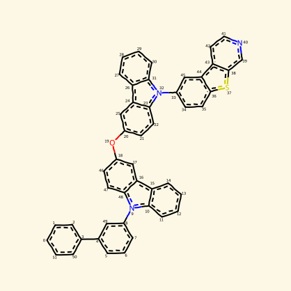 c1ccc(-c2cccc(-n3c4ccccc4c4cc(Oc5ccc6c(c5)c5ccccc5n6-c5ccc6sc7cnccc7c6c5)ccc43)c2)cc1